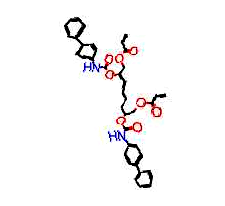 C=CC(=O)OCC(CCCCC(COC(=O)C=C)OC(=O)Nc1ccc(-c2ccccc2)cc1)OC(=O)Nc1ccc(-c2ccccc2)cc1